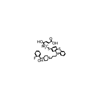 CSc1ccc2c(c1)N(CCCN1CCC(C(O)c3ccccc3F)CC1)c1ccccc1S2.O=C(O)/C=C/C(=O)O